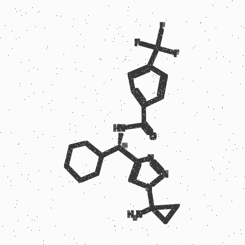 NC1(n2cc([C@@H](NC(=O)c3ccc(C(F)(F)F)cc3)C3CCCCC3)nn2)CC1